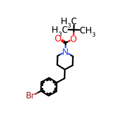 CC(C)(C)OC(=O)N1CCC(Cc2ccc(Br)cc2)CC1